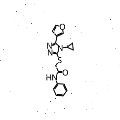 O=C(CSc1nnc(-c2ccoc2)n1C1CC1)Nc1ccccc1